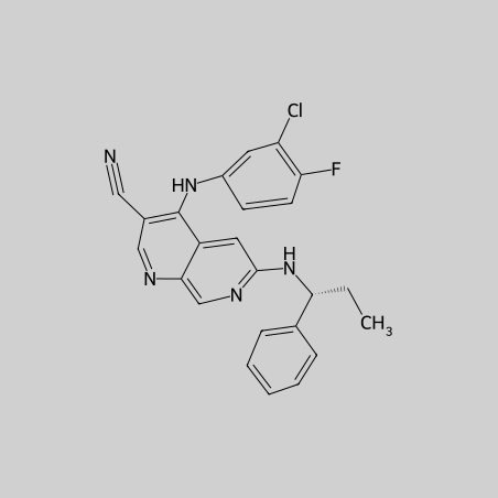 CC[C@@H](Nc1cc2c(Nc3ccc(F)c(Cl)c3)c(C#N)cnc2cn1)c1ccccc1